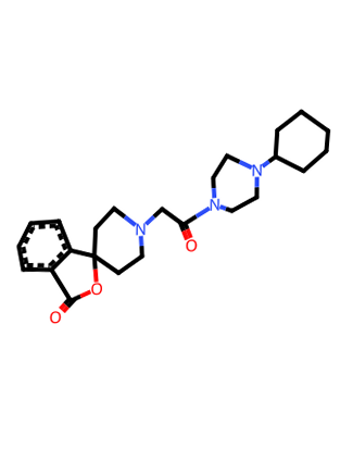 O=C1OC2(CCN(CC(=O)N3CCN(C4CCCCC4)CC3)CC2)c2ccccc21